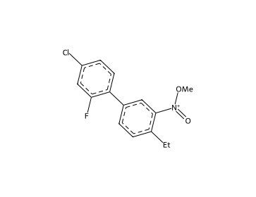 CCc1ccc(-c2ccc(Cl)cc2F)cc1[N+](=O)OC